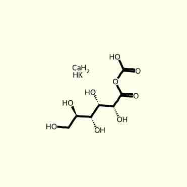 O=C(O)OC(=O)[C@H](O)[C@@H](O)[C@H](O)[C@H](O)CO.[CaH2].[KH]